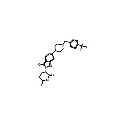 O=C1CC[C@H](n2[nH]c3cc(C4CCN(Cc5ccc(C(F)(F)F)cc5)CC4)ccc3c2=O)C(=O)N1